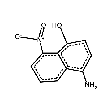 Nc1ccc(O)c2c([N+](=O)[O-])cccc12